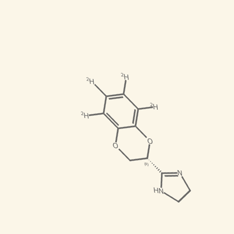 [2H]c1c([2H])c([2H])c2c(c1[2H])OC[C@@H](C1=NCCN1)O2